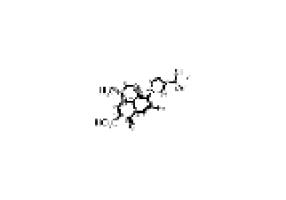 CC(=O)C(N)C1CCN(c2c(F)cc3c(=O)c(C(=O)O)cn4c3c2OCN4C)C1